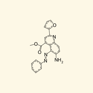 COC(=O)c1cc(-c2ccco2)nc2ccc(N)c(N=Nc3ccccc3)c12